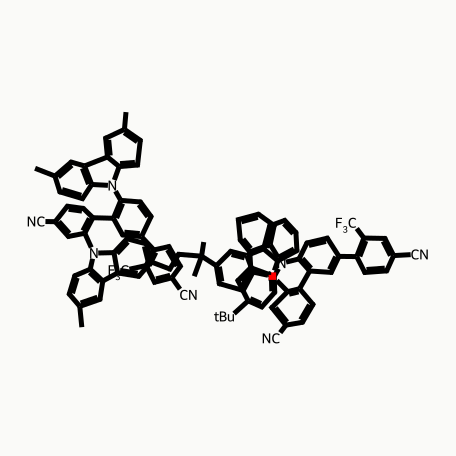 Cc1ccc2c(c1)c1cc(C)ccc1n2-c1ccc(-c2ccc(C#N)cc2C(F)(F)F)cc1-c1ccc(C#N)cc1-n1c2ccc(C)cc2c2cc(CCC(C)(C)c3ccc4c(c3)c3ccccc3n4-c3cc(C#N)ccc3-c3cc(-c4ccc(C#N)cc4C(F)(F)F)ccc3-n3c4ccccc4c4cc(C(C)(C)C)ccc43)ccc21